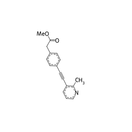 COC(=O)Cc1ccc(C#Cc2cccnc2C)cc1